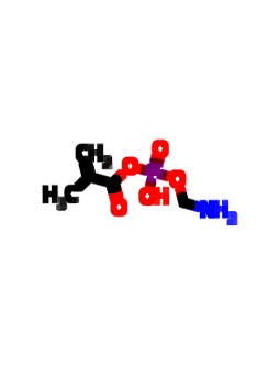 C=C(C)C(=O)OP(=O)(O)OCN